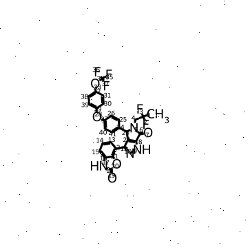 CC(F)(F)CN1C(=O)c2[nH]nc(-c3cccc4[nH]c(=O)oc34)c2C1c1ccc(Oc2ccc(OC(F)(F)F)cc2)cc1